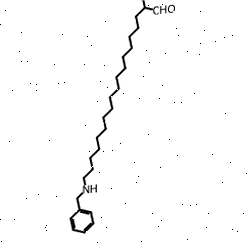 O=CC(C=O)CCCCCCCCCCCCCCCCCNCc1ccccc1